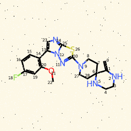 C=C1NCCNC12CCN(c1nn3c(-c4ccc(F)cc4OC)cnc3s1)CC2